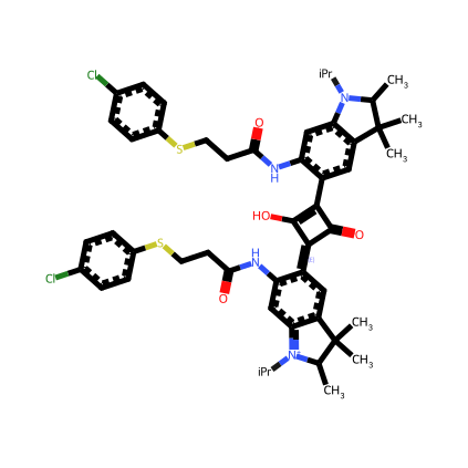 CC(C)N1c2cc(NC(=O)CCSc3ccc(Cl)cc3)c(C3=C(O)/C(=c4/cc5c(cc4NC(=O)CCSc4ccc(Cl)cc4)=[N+](C(C)C)C(C)C5(C)C)C3=O)cc2C(C)(C)C1C